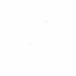 CC[C@@H]1CCCC(C)(C)[C@@H]1C(=O)OCC(C)C